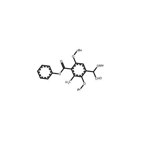 CCCCOc1cc(C(C=O)OC)c(OC(C)C)c(C)c1C(=O)Oc1ccccc1